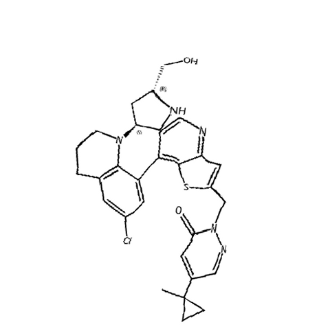 CC1(c2cnn(Cc3cc4nccc(-c5cc(Cl)cc6c5N([C@@H]5CN[C@@H](CO)C5)CCC6)c4s3)c(=O)c2)CC1